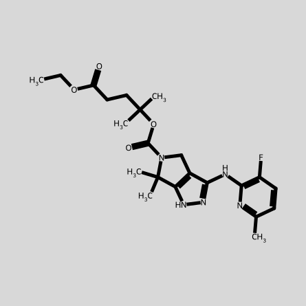 CCOC(=O)CCC(C)(C)OC(=O)N1Cc2c(Nc3nc(C)ccc3F)n[nH]c2C1(C)C